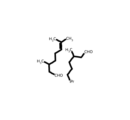 CC(C)=CCCC(C)CC=O.CC(C)CCCC(C)CC=O